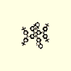 CC(C)(C)c1ccc(N(c2ccc(C(C)(C)C)cc2)c2ccc3c(c2)B2c4cccc5c4N(c4cc(N(c6ccc(C(C)(C)C)cc6)c6ccc(C(C)(C)C)cc6)cc(c42)N3c2ccc3c(c2)sc2ccccc23)C2(C)CCCCC52C)cc1